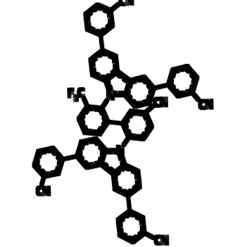 N#Cc1cccc(-c2ccc3c(c2)c2cc(-c4cccc(C#N)c4)ccc2n3-c2ccc(C#N)cc2-c2cccc(C(F)(F)F)c2-n2c3ccc(-c4cccc(C#N)c4)cc3c3cc(-c4cccc(C#N)c4)ccc32)c1